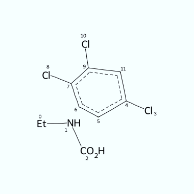 CCNC(=O)O.Clc1ccc(Cl)c(Cl)c1